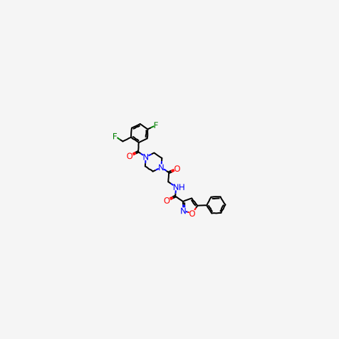 O=C(NCC(=O)N1CCN(C(=O)c2cc(F)ccc2CF)CC1)c1cc(-c2ccccc2)on1